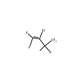 CCC(=C(F)F)C(C)(F)C(F)(F)F